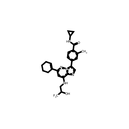 Cc1cc(-c2cnc3c(NCC(O)C(F)(F)F)cc(C4=CCCCC4)nn23)ccc1C(=O)NC1CC1